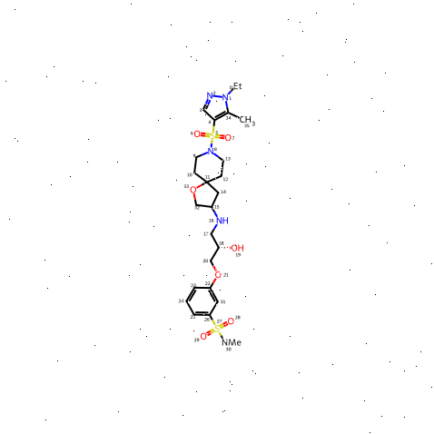 CCn1ncc(S(=O)(=O)N2CCC3(CC2)CC(NC[C@H](O)COc2cccc(S(=O)(=O)NC)c2)CO3)c1C